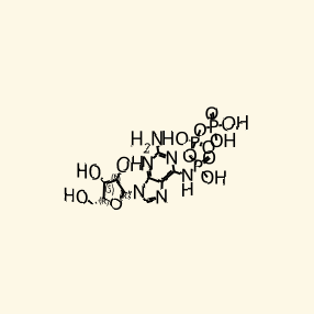 Nc1nc(NP(=O)(O)OP(=O)(O)OP(=O)(O)O)c2ncn([C@@H]3O[C@H](CO)[C@@H](O)[C@H]3O)c2n1